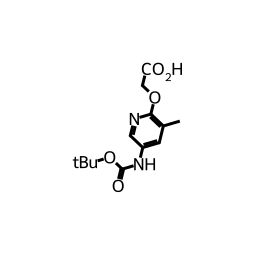 Cc1cc(NC(=O)OC(C)(C)C)cnc1OCC(=O)O